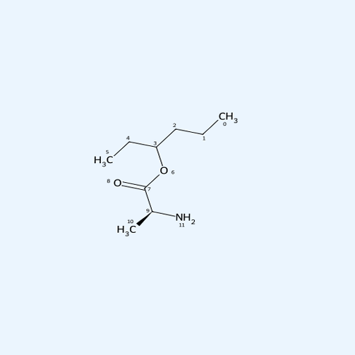 CCCC(CC)OC(=O)[C@H](C)N